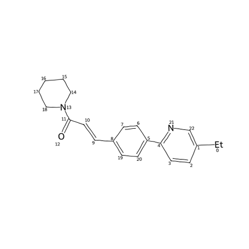 CCc1ccc(-c2ccc(/C=C/C(=O)N3CCCCC3)cc2)nc1